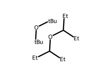 CC(C)(C)OC(C)(C)C.CCC(CC)OC(CC)CC